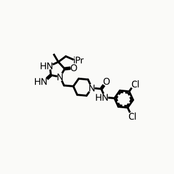 CC(C)CC1(C)NC(=N)N(CC2CCN(C(=O)Nc3cc(Cl)cc(Cl)c3)CC2)C1=O